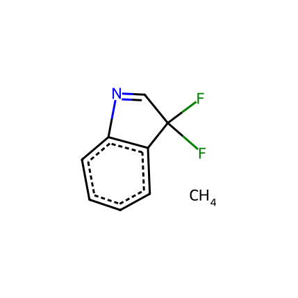 C.FC1(F)C=Nc2ccccc21